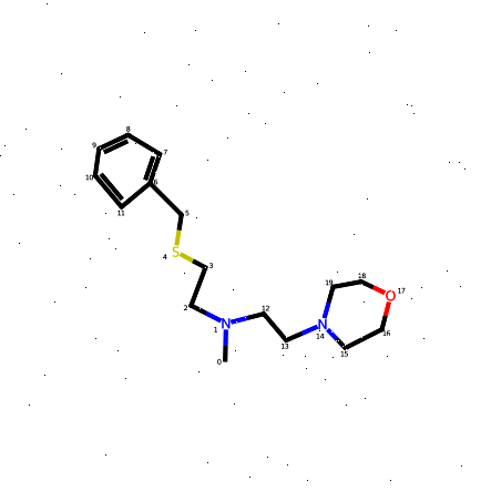 CN(CCSCc1ccccc1)CCN1CCOCC1